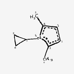 Cc1ccc(C)n1C1CC1